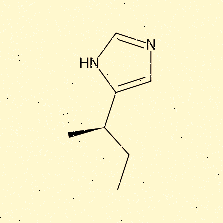 CC[C@@H](C)c1cnc[nH]1